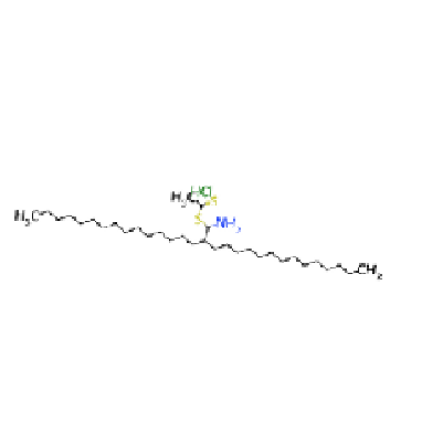 CCCCCCCCCCCCCCCC(CCCCCCCCCCCCCC)C(N)SC(C)=S.Cl